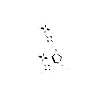 CN1C=CN(C)C1.O=S(=O)(NS(=O)(=O)C(F)(F)F)C(F)(F)F.O=S(=O)(NS(=O)(=O)C(F)(F)F)C(F)(F)F